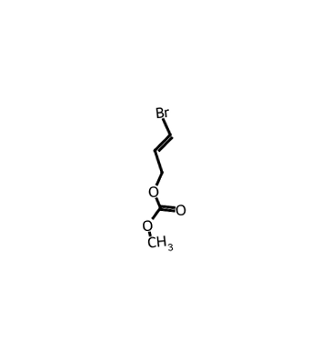 COC(=O)OCC=CBr